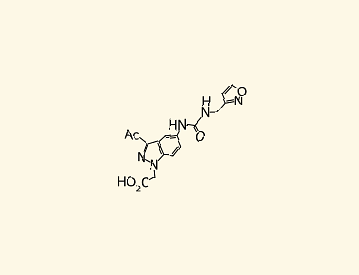 CC(=O)c1nn(CC(=O)O)c2ccc(NC(=O)NCc3ccon3)cc12